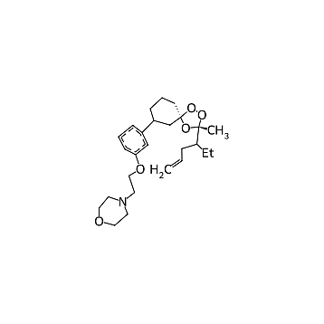 C=CCC(CC)[C@@]1(C)OO[C@@]2(CCCC(c3cccc(OCCN4CCOCC4)c3)C2)O1